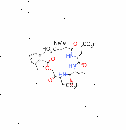 CN[C@@H](CC(=O)O)C(=O)N[C@@H](CCC(=O)O)C(=O)N[C@H](C(=O)N[C@@H](CC(=O)O)C(=O)COC(=O)c1c(C)cccc1C)C(C)C